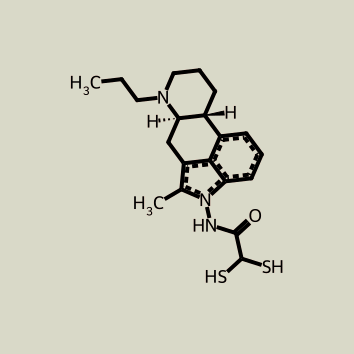 CCCN1CCC[C@@H]2c3cccc4c3c(c(C)n4NC(=O)C(S)S)C[C@H]21